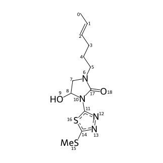 CC=CCCCN1CC(O)N(c2nnc(SC)s2)C1=O